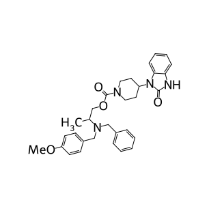 COc1ccc(CN(Cc2ccccc2)C(C)COC(=O)N2CCC(n3c(=O)[nH]c4ccccc43)CC2)cc1